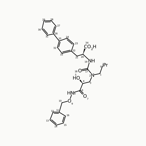 CC(C)CN(C[C@H](O)C(=O)NOCc1ccccc1)C(=O)N[C@@H](Cc1ccc(-c2ccccc2)cc1)C(=O)O